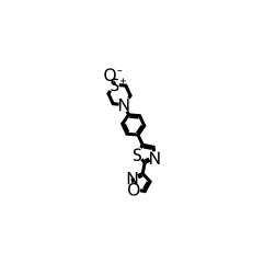 [O-][S+]1CCN(c2ccc(-c3cnc(-c4ccon4)s3)cc2)CC1